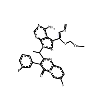 C=N/C=C(\SCOC)c1nn(C(C)c2nc3ccc(F)cn3c(=O)c2-c2cccc(F)c2)c2ncnc(N)c12